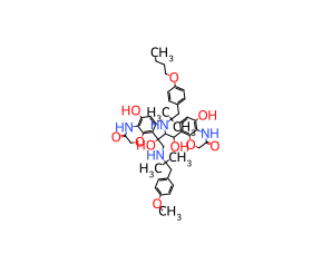 CCCCOc1ccc(CC(C)(C)NC(C(O)c2ccc(O)c3c2OCC(=O)N3)C(O)(CNC(C)(C)Cc2ccc(OC)cc2)c2ccc(O)c3c2OCC(=O)N3)cc1